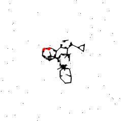 COC(=O)c1cc(C)nc(N2[C@@H]3CC[C@H]2C[C@H](OCc2c(-c4ccccc4OC(F)F)noc2C2CC2)C3)n1